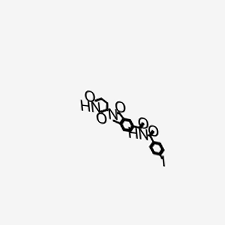 O=C1CCC(N2Cc3ccc(C(=O)NC(=O)c4ccc(I)cc4)cc3C2=O)C(=O)N1